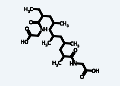 CCC(CC(C)CC(C)CC(C)CC(C)C(=O)NCC(=O)O)C(=O)NCC(=O)O